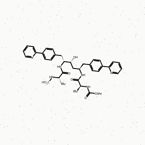 COC(=O)N[C@H](C(=O)N[C@H](Cc1ccc(-c2ccccn2)cc1)C[C@@H](O)[C@@H](Cc1ccc(-c2ccccn2)cc1)NC(=O)[C@@H](NC(=O)O)C(C)(C)C)C(C)(C)C